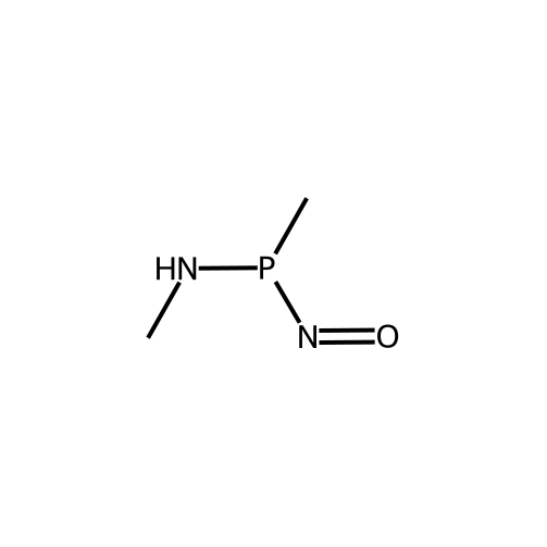 CNP(C)N=O